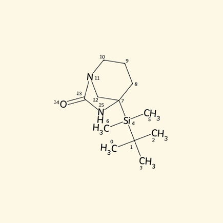 CC(C)(C)[Si](C)(C)C12CCCN(C1)C(=O)N2